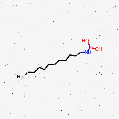 CCCCCCCCCCCCNP(O)O